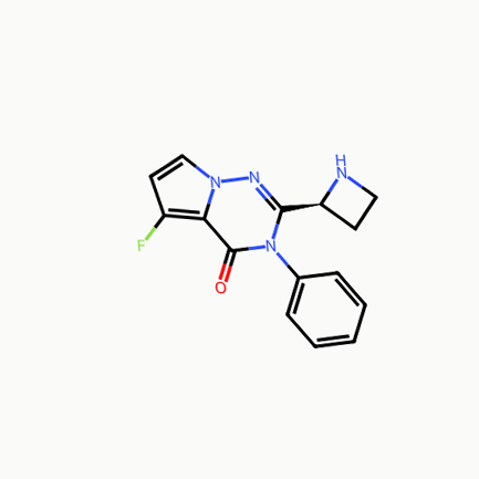 O=c1c2c(F)ccn2nc([C@@H]2CCN2)n1-c1ccccc1